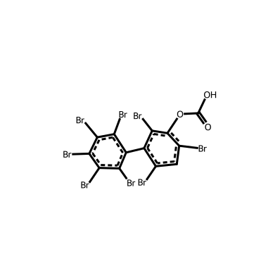 O=C(O)Oc1c(Br)cc(Br)c(-c2c(Br)c(Br)c(Br)c(Br)c2Br)c1Br